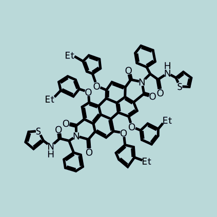 CCc1cccc(Oc2cc3c4c(cc(Oc5cccc(CC)c5)c5c6c(Oc7cccc(CC)c7)cc7c8c(cc(Oc9cccc(CC)c9)c(c2c45)c86)C(=O)N(C(C(=O)Nc2cccs2)c2ccccc2)C7=O)C(=O)N(C(C(=O)Nc2cccs2)c2ccccc2)C3=O)c1